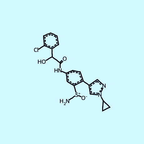 N[S+]([O-])c1cc(NC(=O)C(O)c2ccccc2Cl)ccc1-c1cnn(C2CC2)c1